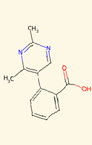 Cc1ncc(-c2ccccc2C(=O)O)c(C)n1